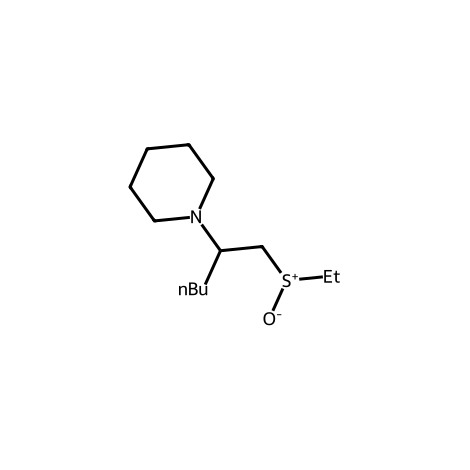 CCCCC(C[S+]([O-])CC)N1CCCCC1